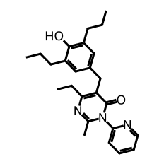 CCCc1cc(Cc2c(CC)nc(C)n(-c3ccccn3)c2=O)cc(CCC)c1O